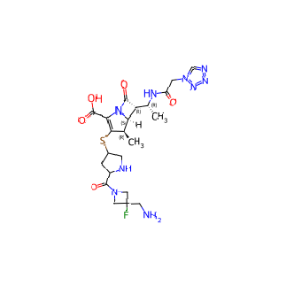 C[C@@H](NC(=O)Cn1cnnn1)[C@H]1C(=O)N2C(C(=O)O)=C(SC3CNC(C(=O)N4CC(F)(CN)C4)C3)[C@H](C)[C@H]12